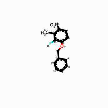 Cc1c([N+](=O)[O-])ccc(OCc2ccccc2)c1F